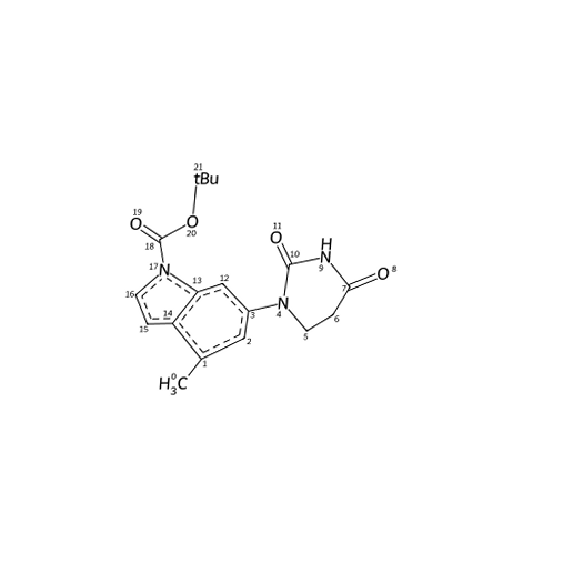 Cc1cc(N2CCC(=O)NC2=O)cc2c1ccn2C(=O)OC(C)(C)C